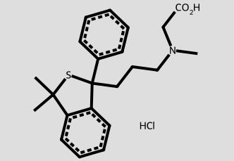 CN(CCCC1(c2ccccc2)SC(C)(C)c2ccccc21)CC(=O)O.Cl